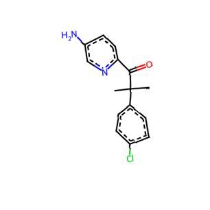 CC(C)(C(=O)c1ccc(N)cn1)c1ccc(Cl)cc1